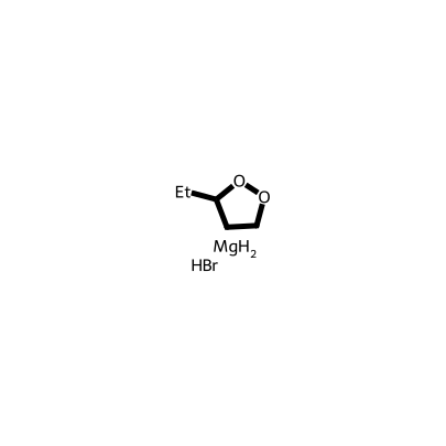 Br.CCC1CCOO1.[MgH2]